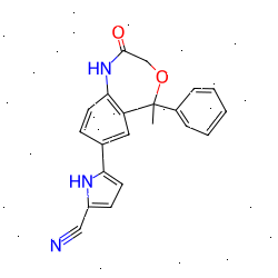 CC1(c2ccccc2)OCC(=O)Nc2ccc(-c3ccc(C#N)[nH]3)cc21